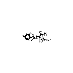 CCCCCCCCCCS(=O)(=O)NC(CNS(=O)(=O)c1ccc(F)cc1F)C(=O)NO